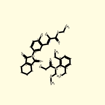 CCOC(=O)/C(Cl)=C/c1cc(N2C(=O)C3=C(CCCC3)C2=O)ccc1Cl.CCc1cccc(CC)c1N(COC)C(=O)CCl